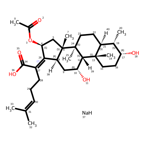 CC(=O)O[C@H]1C[C@@]2(C)[C@@H](C[C@@H](O)[C@H]3[C@@]4(C)CC[C@@H](O)[C@@H](C)[C@@H]4CC[C@@]32C)/C1=C(\CCC=C(C)C)C(=O)O.[NaH]